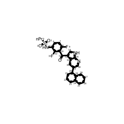 CCCS(=O)(=O)Nc1ccc(F)c(C(=O)c2c[nH]c3ncc(-c4cccc5ccccc45)cc23)c1F